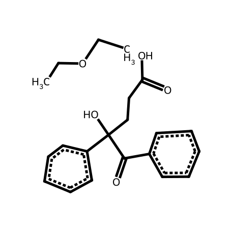 CCOCC.O=C(O)CCC(O)(C(=O)c1ccccc1)c1ccccc1